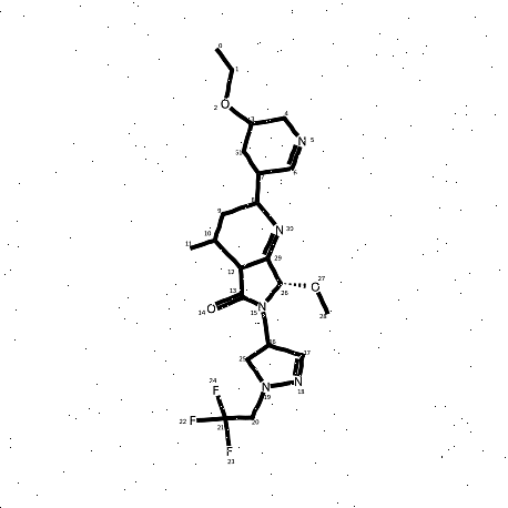 CCOC1CN=CC(C2CC(C)C3C(=O)N(C4C=NN(CC(F)(F)F)C4)[C@@H](OC)C3=N2)C1